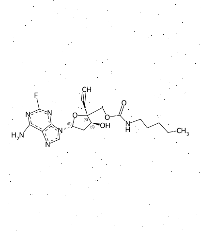 C#C[C@]1(COC(=O)NCCCCC)O[C@@H](n2cnc3c(N)nc(F)nc32)C[C@@H]1O